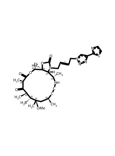 B[C@@H]1[C@@H](C)C(=O)[C@@H](C)C(=O)O[C@H](CC)[C@@]2(C)OC(=O)N(C/C=C/Cn3cc(-c4nccs4)nn3)[C@@H]2[C@H](C)NCC[C@@H](C)C[C@@]1(C)OC